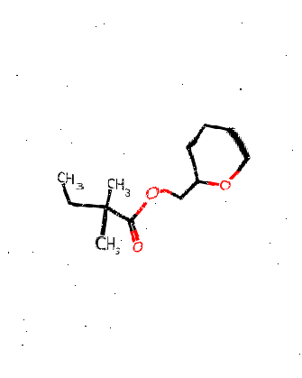 CCC(C)(C)C(=O)OCC1CCCCO1